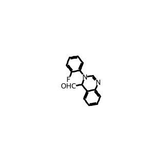 O=CC1c2ccccc2N=CN1c1ccccc1F